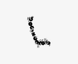 O=C1CCC(Oc2ccc(C3CCN(CC(=O)N4CC5(C4)CN(c4ccc(-c6cnc7[nH]cc(C(=O)c8c(F)ccc(NS(=O)(=O)N9CCC(F)C9)c8F)c7c6)cn4)C5)CC3)cc2)C(=O)N1